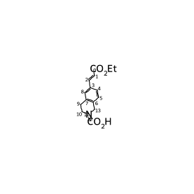 CCOC(=O)C=Cc1ccc2c(c1)CCN(C(=O)O)C2